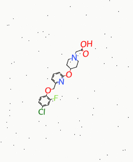 O=C(O)CN1CCC(Oc2cccc(COc3ccc(Cl)cc3F)n2)CC1